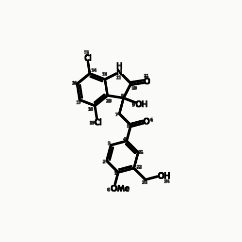 COc1ccc(C(=O)CC2(O)C(=O)Nc3c(Cl)ccc(Cl)c32)cc1CO